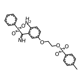 Cc1ccc(S(=O)(=O)OCCOc2ccc(N)c(C(=N)S(=O)(=O)c3ccccc3)c2)cc1